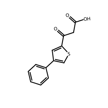 O=C(O)CC(=O)c1cc(-c2ccccc2)cs1